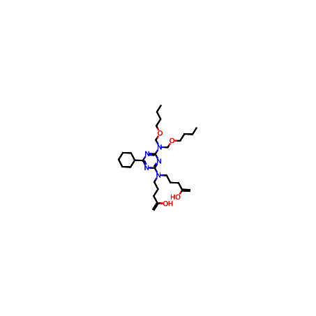 C=C(O)CCCN(CCCC(=C)O)c1nc(C2CCCCC2)nc(N(COCCCC)COCCCC)n1